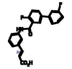 O=C(O)/C=C/c1cccc(NC(=O)c2cc(-c3cccc(F)c3)ccc2F)c1